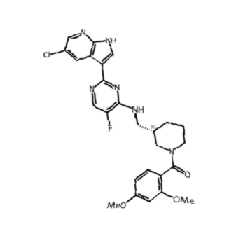 COc1ccc(C(=O)N2CCC[C@@H](CNc3nc(-c4c[nH]c5ncc(Cl)cc45)ncc3F)C2)c(OC)c1